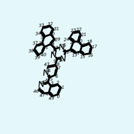 c1ccc2c(-c3ccc(-c4nc(-c5cc6ccccc6c6ccccc56)nc(-c5cc6ccccc6c6ccccc56)n4)cn3)nccc2c1